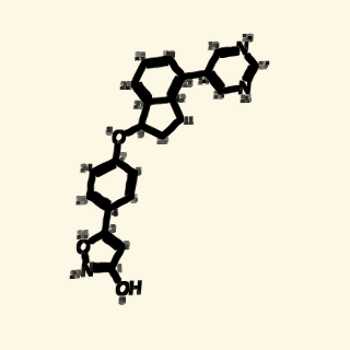 Oc1cc(-c2ccc(OC3CCc4c(-c5cncnc5)cccc43)cc2)on1